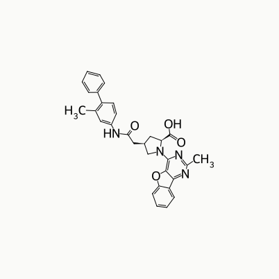 Cc1nc(N2C[C@@H](CC(=O)Nc3ccc(-c4ccccc4)c(C)c3)C[C@H]2C(=O)O)c2oc3ccccc3c2n1